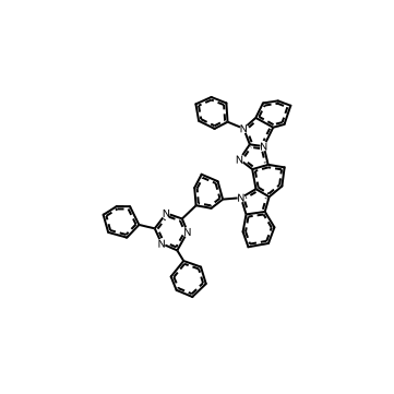 c1ccc(-c2nc(-c3ccccc3)nc(-c3cccc(-n4c5ccccc5c5ccc6c(nc7n(-c8ccccc8)c8ccccc8n67)c54)c3)n2)cc1